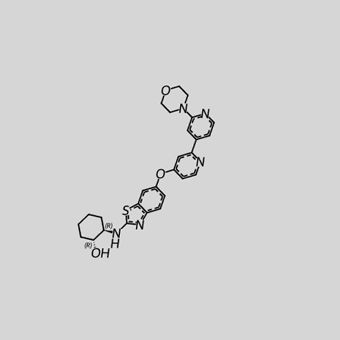 O[C@@H]1CCCC[C@H]1Nc1nc2ccc(Oc3ccnc(-c4ccnc(N5CCOCC5)c4)c3)cc2s1